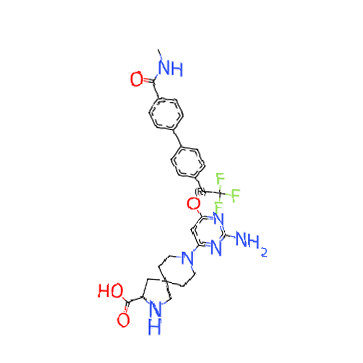 CNC(=O)c1ccc(-c2ccc([C@@H](Oc3cc(N4CCC5(CC4)CNC(C(=O)O)C5)nc(N)n3)C(F)(F)F)cc2)cc1